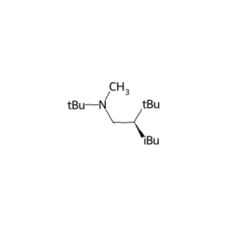 CCC(C)[C@@H](CN(C)C(C)(C)C)C(C)(C)C